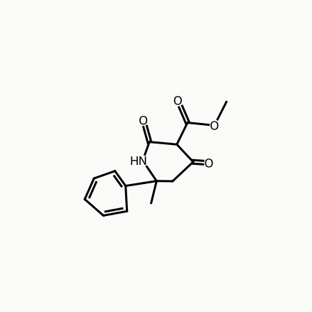 COC(=O)C1C(=O)CC(C)(c2ccccc2)NC1=O